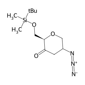 CC(C)(C)[Si](C)(C)OC[C@H]1OCC(N=[N+]=[N-])CC1=O